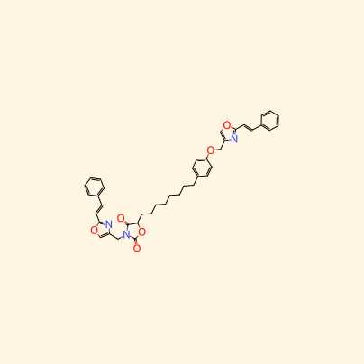 O=C1OC(CCCCCCCCc2ccc(OCc3coc(C=Cc4ccccc4)n3)cc2)C(=O)N1Cc1coc(C=Cc2ccccc2)n1